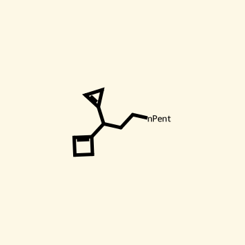 CCCCCCCC(C1=CC1)C1=CCC1